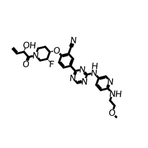 C=C[C@H](O)C(=O)N1CC[C@H](Oc2ccc(-c3ncnc(Nc4ccc(NCCOC)nc4)n3)cc2C#N)[C@H](F)C1